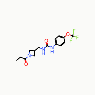 CCC(=O)N1CC(CNC(=O)Nc2ccc(OC(F)(F)F)cc2)C1